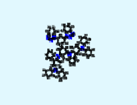 Cc1c(-n2c3ccccc3c3cc(N(c4ccccc4)c4ccccc4)ccc32)cc(-c2cc(-n3nnc4ccccc43)cc(-n3nnc4ccccc43)c2)cc1-n1c2ccccc2c2cc(N(c3ccccc3)c3ccccc3)ccc21